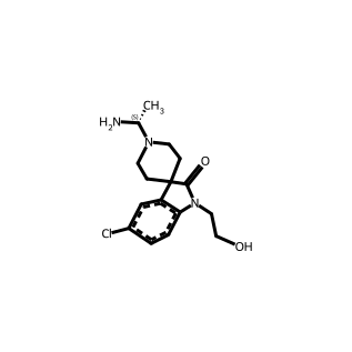 C[C@@H](N)N1CCC2(CC1)C(=O)N(CCO)c1ccc(Cl)cc12